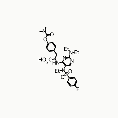 CCN(CC)c1ncc(N(CC)S(=O)(=O)c2ccc(F)cc2)c(NC(Cc2ccc(OC(=O)N(C)C)cc2)C(=O)O)n1